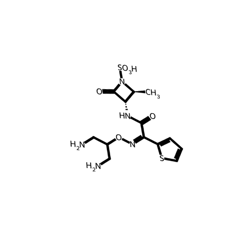 C[C@H]1[C@H](NC(=O)C(=NOC(CN)CN)c2cccs2)C(=O)N1S(=O)(=O)O